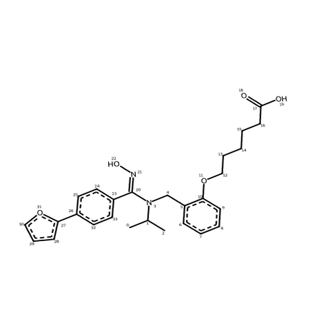 CC(C)N(Cc1ccccc1OCCCCCC(=O)O)C(=NO)c1ccc(-c2ccco2)cc1